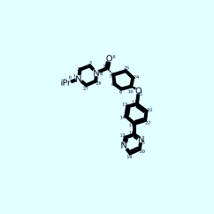 CC(C)N1CCN(C(=O)[C@H]2CC[C@H](Oc3ccc(-c4cnccn4)cc3)CC2)CC1